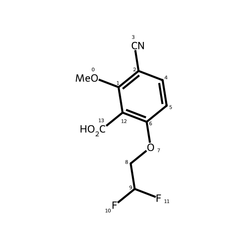 COc1c(C#N)ccc(OCC(F)F)c1C(=O)O